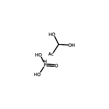 CC(=O)C(O)O.O=[PH](O)O